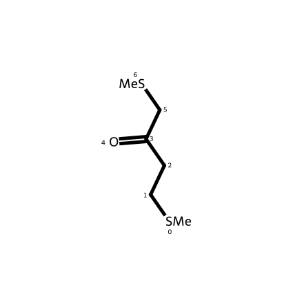 CSCCC(=O)CSC